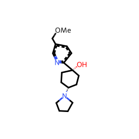 COCc1ccc([C@]2(O)CC[C@@H](N3CCCC3)CC2)nc1